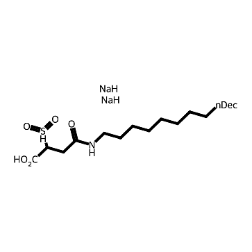 CCCCCCCCCCCCCCCCCCNC(=O)CC(C(=O)O)[SH](=O)=O.[NaH].[NaH]